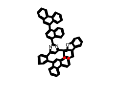 c1ccc(-c2cc3ccccc3c3ccccc23)c(-c2cc(-c3cccc4c3oc3ccccc34)nc(-c3ccc(-c4cc5ccccc5c5ccccc45)c4ccccc34)n2)c1